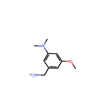 COc1cc(CN)cc(N(C)C)c1